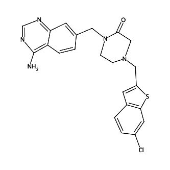 Nc1ncnc2cc(CN3CCN(Cc4cc5ccc(Cl)cc5s4)CC3=O)ccc12